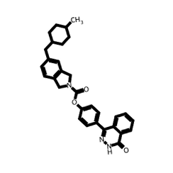 CC1CCC(Cc2ccc3c(c2)CN(C(=O)Oc2ccc(-c4n[nH]c(=O)c5ccccc45)cc2)C3)CC1